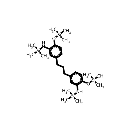 C[Si](C)(C)Nc1cc(CCCc2ccc(O[Si](C)(C)C)c(N[Si](C)(C)C)c2)ccc1O[Si](C)(C)C